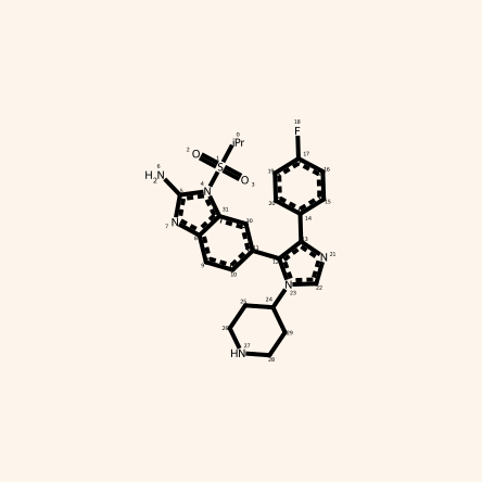 CC(C)S(=O)(=O)n1c(N)nc2ccc(-c3c(-c4ccc(F)cc4)ncn3C3CCNCC3)cc21